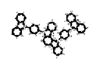 c1ccc2c(c1)c1ccccc1n2-c1ccc(-n2c3ccc4c5ccccc5n(-c5ccc(-n6c7ccccc7c7ccccc76)cc5)c4c3c3cncnc32)cc1